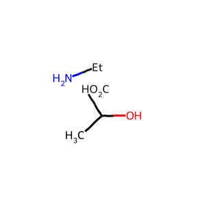 CC(O)C(=O)O.CCN